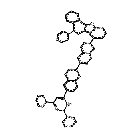 C1=C(c2ccc3cc(-c4ccc5cc(-c6cccc7oc8c9ccccc9c(-c9ccccc9)cc8c67)ccc5c4)ccc3c2)NC(c2ccccc2)N=C1c1ccccc1